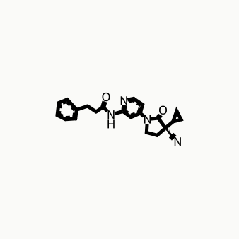 N#C[C@@]1(C2CC2)CCN(c2ccnc(NC(=O)CCc3ccccc3)c2)C1=O